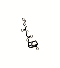 O=COCC(=O)OCC(=O)OC1C2CC3CC(C2)C(=O)OC1C3